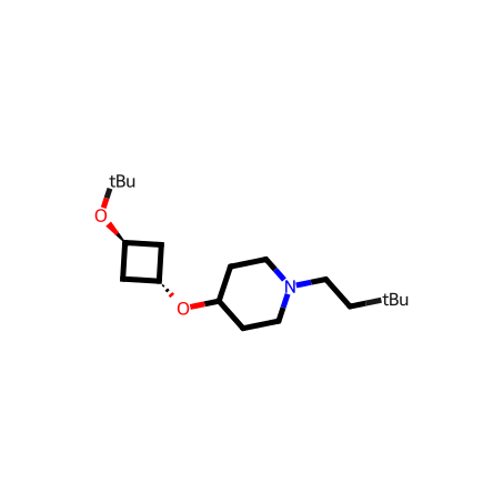 CC(C)(C)CCN1CCC(O[C@H]2C[C@H](OC(C)(C)C)C2)CC1